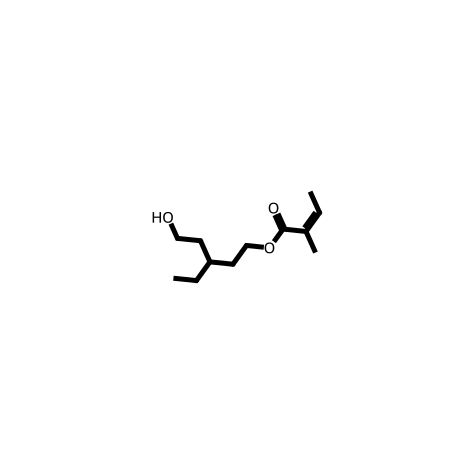 CC=C(C)C(=O)OCCC(CC)CCO